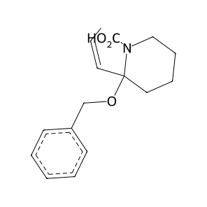 C/C=C\C1(OCc2ccccc2)CCCCN1C(=O)O